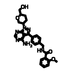 COc1ccccc1C(=O)NCc1ccc(-c2nn(C3CCC(CO)OC3)c3ncnc(N)c23)cc1